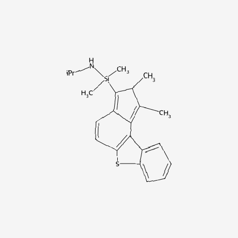 CC1=c2c(ccc3sc4ccccc4c23)=C([Si](C)(C)NC(C)C)C1C